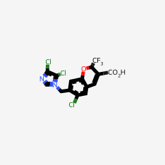 O=C(O)C1=Cc2cc(Cl)c(Cn3cnc(Cl)c3Cl)cc2OC1C(F)(F)F